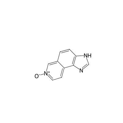 [O-][n+]1ccc2c(ccc3[nH]cnc32)c1